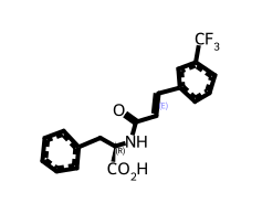 O=C(/C=C/c1cccc(C(F)(F)F)c1)N[C@H](Cc1ccccc1)C(=O)O